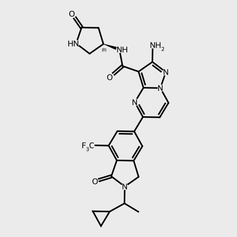 CC(C1CC1)N1Cc2cc(-c3ccn4nc(N)c(C(=O)N[C@H]5CNC(=O)C5)c4n3)cc(C(F)(F)F)c2C1=O